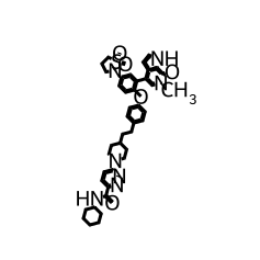 Cn1cc(-c2cc(N3CCCS3(=O)=O)ccc2Oc2ccc(CCC3CCN(c4ccc(C(=O)NC5CCCCC5)nn4)CC3)cc2)c2cc[nH]c2c1=O